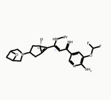 CC(C)N/C(=C\C(=N)c1cnc(N)c(OC(F)F)c1)C1=C2CC(N3CC4CC(C3)O4)C[C@H]21